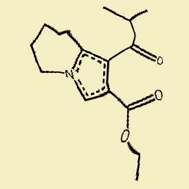 CCOC(=O)c1cn2c(c1C(=O)C(C)C)CCCC2